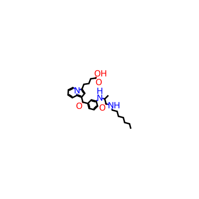 CCCCCCCNC(=O)C(C)Nc1cccc(C(=O)c2cc(CCCC(=O)O)n3ccccc23)c1